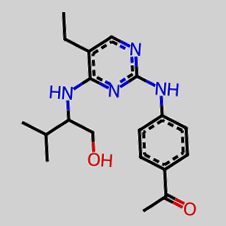 CCc1cnc(Nc2ccc(C(C)=O)cc2)nc1NC(CO)C(C)C